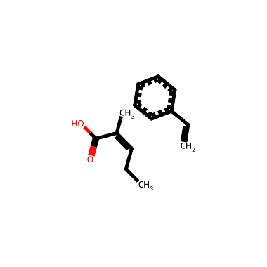 C=Cc1ccccc1.CCC=C(C)C(=O)O